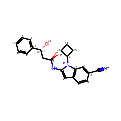 N#Cc1ccc2cc(NC(=O)C[C@@H](O)c3ccccc3)n(C3CCC3)c2c1